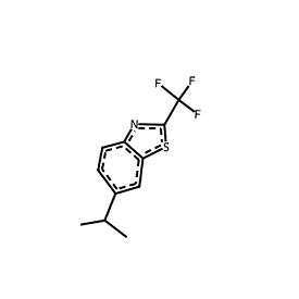 CC(C)c1ccc2nc(C(F)(F)F)sc2c1